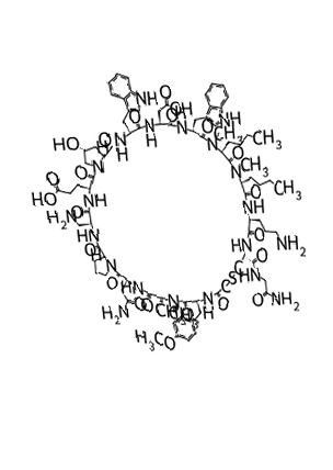 CCCC[C@H]1C(=O)N(C)[C@@H](CCCC)C(=O)N[C@@H](CCCN)C(=O)N[C@H](C(=O)NCC(N)=O)CSCC(=O)N[C@@H](Cc2ccc(OC)cc2)C(=O)N(C)[C@@H](C)C(=O)N[C@@H](CC(N)=O)C(=O)N2CCC[C@H]2C(=O)N[C@@H](CN)C(=O)N[C@@H](CCC(=O)O)C(=O)N2C[C@H](O)C[C@H]2C(=O)N[C@@H](Cc2c[nH]c3ccccc23)C(=O)N[C@@H](CC(=O)O)C(=O)N[C@@H](Cc2c[nH]c3ccccc23)C(=O)N1C